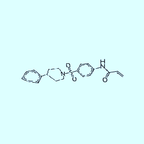 C=CC(=O)Nc1ccc(S(=O)(=O)N2CCC(c3ccccc3)CC2)cc1